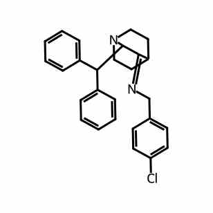 Clc1ccc(C/N=C2\C3CCN(CC3)C2C(c2ccccc2)c2ccccc2)cc1